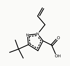 C=CCn1nc(C(C)(C)C)cc1C(=O)O